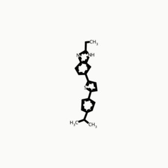 CCc1nc2ccc(-c3ccc(-c4ccc(C(C)C)cc4)s3)cc2[nH]1